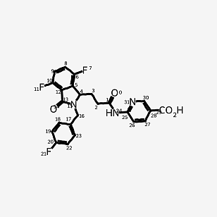 O=C(CCC1c2c(F)ccc(F)c2C(=O)N1Cc1ccc(F)cc1)Nc1ccc(C(=O)O)cn1